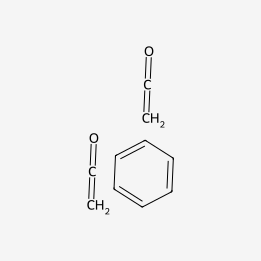 C=C=O.C=C=O.c1ccccc1